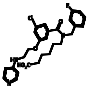 O=C(O)CCCCCN(Cc1cccc(F)c1)C(=O)c1cc(Cl)cc(OCCNc2ccncc2)c1